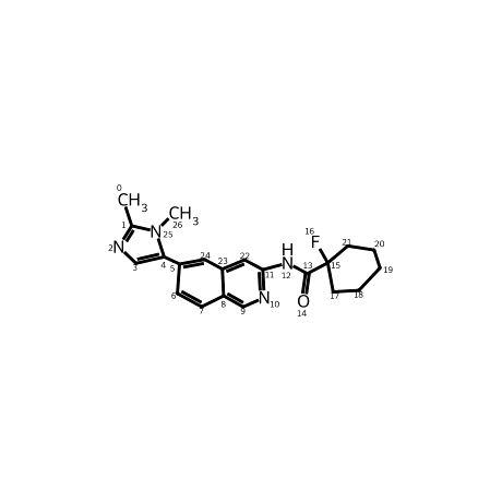 Cc1ncc(-c2ccc3cnc(NC(=O)C4(F)CCCCC4)cc3c2)n1C